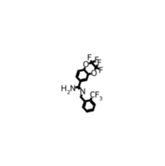 NC(=NCc1ccccc1C(F)(F)F)C1=CC2OC(F)(F)C(F)(F)OC2C=C1